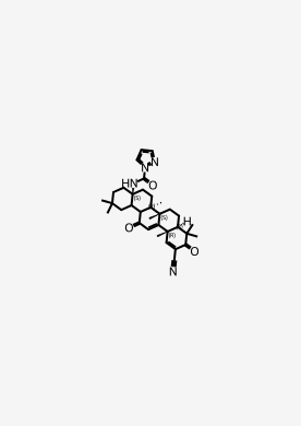 CC1(C)CC[C@]2(NC(=O)n3cccn3)CC[C@]3(C)C(C(=O)C=C4[C@@]5(C)C=C(C#N)C(=O)C(C)(C)[C@@H]5CC[C@]43C)C2C1